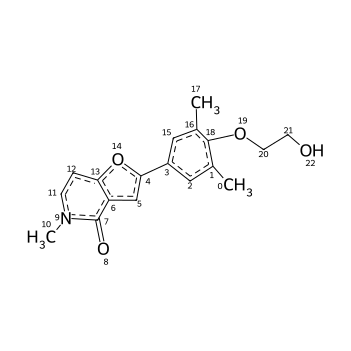 Cc1cc(-c2cc3c(=O)n(C)ccc3o2)cc(C)c1OCCO